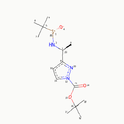 C[C@H](N[S@@+]([O-])C(C)(C)C)c1ccn(C(=O)OC(C)(C)C)n1